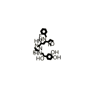 N=C(/C=C(\NCc1ccccc1F)c1ccon1)c1ncc(F)c(NCC(O)c2ccc(O)c(O)c2)n1